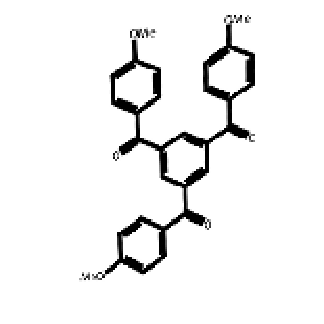 COc1ccc(C(=O)c2cc(C(=O)c3ccc(OC)cc3)cc(C(=O)c3ccc(OC)cc3)c2)cc1